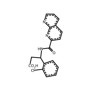 O=C(O)CC(NC(=O)c1ccc2cccnc2n1)c1ccccc1Cl